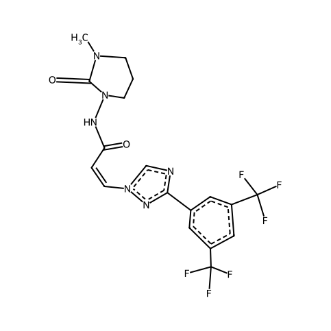 CN1CCCN(NC(=O)/C=C\n2cnc(-c3cc(C(F)(F)F)cc(C(F)(F)F)c3)n2)C1=O